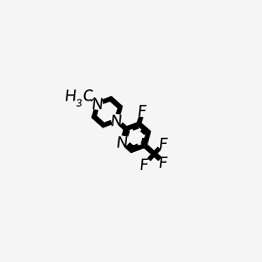 CN1CCN(c2ncc(C(F)(F)F)cc2F)CC1